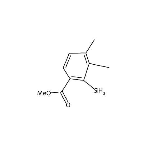 COC(=O)c1ccc(C)c(C)c1[SiH3]